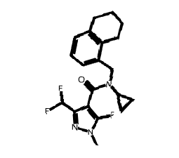 Cn1nc(C(F)F)c(C(=O)N(Cc2cccc3c2CCCC3)C2CC2)c1F